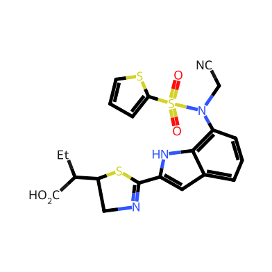 CCC(C(=O)O)C1CN=C(c2cc3cccc(N(CC#N)S(=O)(=O)c4cccs4)c3[nH]2)S1